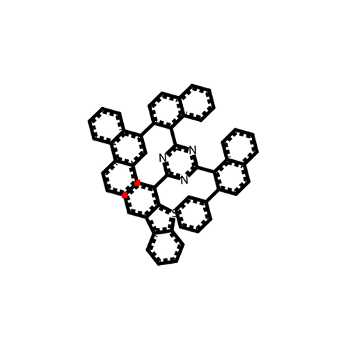 c1ccc(-c2ccc3ccccc3c2-c2nc(-c3c(-c4cc5ccccc5c5ccccc45)ccc4ccccc34)nc(-c3cccc4c3sc3ccccc34)n2)cc1